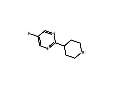 Fc1cnc(C2CCNCC2)nc1